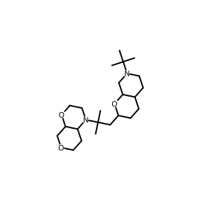 CC(C)(C)N1CCC2CCC(CC(C)(C)N3CCOC4COCCC43)OC2C1